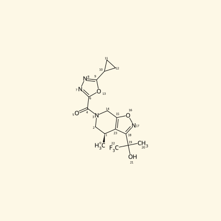 C[C@H]1CN(C(=O)c2nnc(C3CC3)o2)Cc2onc(C(C)(O)C(F)(F)F)c21